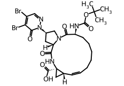 CC(C)(C)OC(=O)N[C@H]1CCCCC/C=C\[C@@H]2C[C@@]2(C(=O)O)NC(=O)[C@@H]2C[C@@H](n3ncc(Br)c(Br)c3=O)CN2C1=O